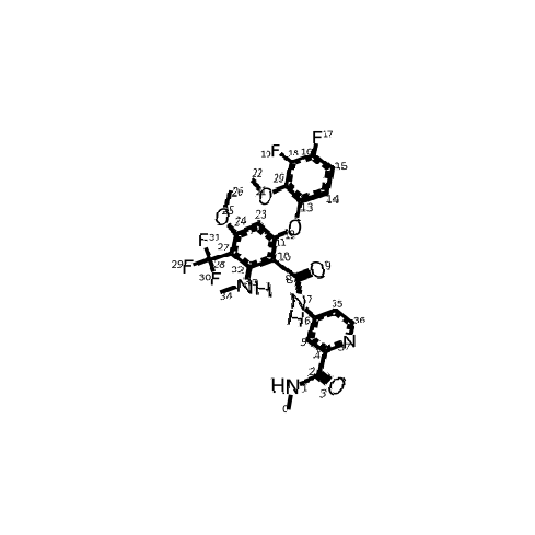 CNC(=O)c1cc(NC(=O)c2c(Oc3ccc(F)c(F)c3OC)cc(OC)c(C(F)(F)F)c2NC)ccn1